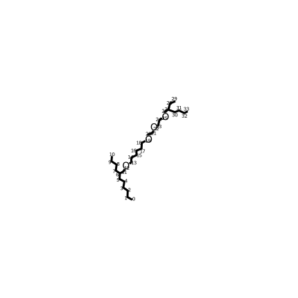 CCCCCCC(CCCC)COCCCCCCOCCOCCOCC(CC)CCCC